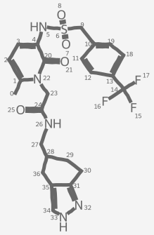 Cc1ccc(NS(=O)(=O)Cc2ccc(C(F)(F)F)cc2)c(=O)n1CC(=O)NCC1CCc2n[nH]cc2C1